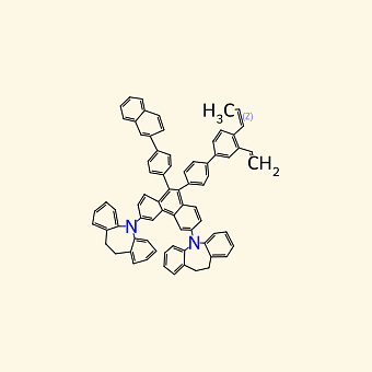 C=Cc1cc(-c2ccc(-c3c(-c4ccc(-c5ccc6ccccc6c5)cc4)c4ccc(N5c6ccccc6CCc6ccccc65)cc4c4cc(N5c6ccccc6CCc6ccccc65)ccc34)cc2)ccc1/C=C\C